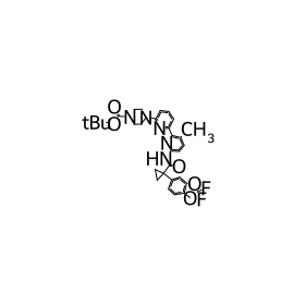 Cc1ccc(NC(=O)C2(c3ccc4c(c3)OC(F)(F)O4)CC2)nc1-c1cccc(N2CCN(C(=O)OC(C)(C)C)CC2)n1